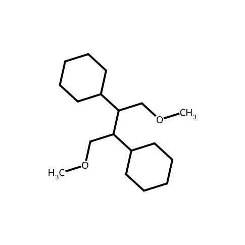 COCC(C1CCCCC1)C(COC)C1CCCCC1